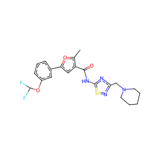 Cc1oc(-c2cccc(OC(F)F)c2)cc1C(=O)Nc1nc(CN2CCCCC2)ns1